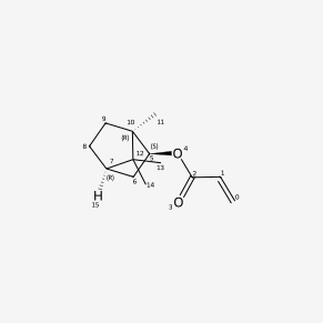 C=CC(=O)O[C@H]1C[C@H]2CC[C@]1(C)C2(C)C